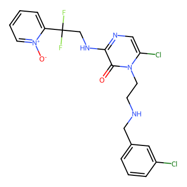 O=c1c(NCC(F)(F)c2cccc[n+]2[O-])ncc(Cl)n1CCNCc1cccc(Cl)c1